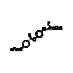 CCCCCCCC[C@H](F)COc1ccc(OC(=S)[C@H]2CC[C@H](CCCCC)CC2)cc1